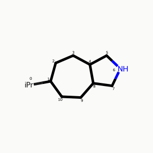 CC(C)C1CCC2CNCC2CC1